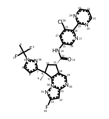 CC(F)(F)n1ccc([C@@]2(C)C[C@H](C(=O)Nc3cnc(-c4ncccn4)c(Cl)c3)c3cnc4cc(F)nn4c32)n1